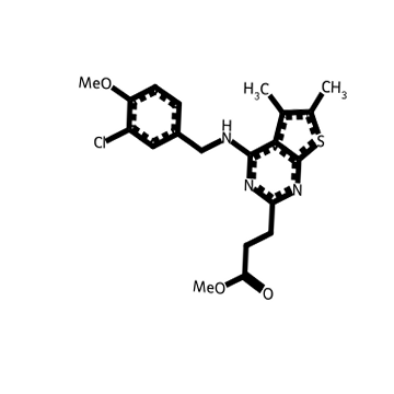 COC(=O)CCc1nc(NCc2ccc(OC)c(Cl)c2)c2c(C)c(C)sc2n1